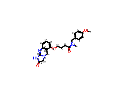 COc1ccc(CN(C)C(=O)CCCOc2cccc3c2CN2CC(=O)NC2=N3)cc1